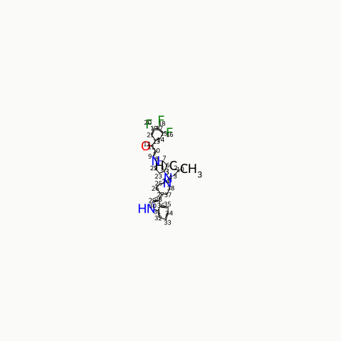 CC(C)CN(C1CCN(C=CC(=O)c2cc(F)c(F)c(F)c2)CC1)N1CCC(c2c[nH]c3ccccc23)CC1